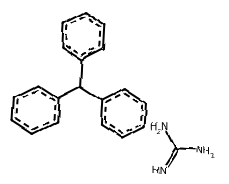 N=C(N)N.c1ccc(C(c2ccccc2)c2ccccc2)cc1